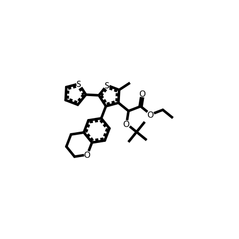 CCOC(=O)C(OC(C)(C)C)c1c(C)sc(-c2cccs2)c1-c1ccc2c(c1)CCCO2